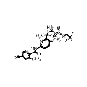 Cc1cc(C#N)cnc1C(=O)Nc1ccc(F)c(C(C)(C)/N=C(/N)N(C)/[SH](=O)=N/CC(F)(F)F)n1